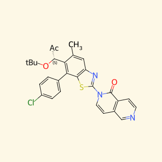 CC(=O)[C@@H](OC(C)(C)C)c1c(C)cc2nc(-n3ccc4cnccc4c3=O)sc2c1-c1ccc(Cl)cc1